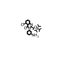 CC(O[Si](C(C)C)(C(C)C)C(C)C)c1nc2cccc(Cl)c2c(=O)n1-c1cccc(N)c1